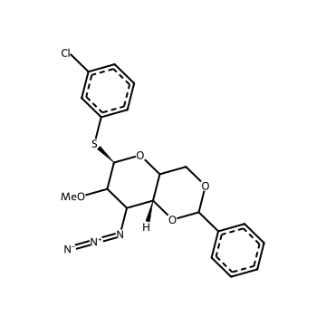 COC1C(N=[N+]=[N-])[C@H]2OC(c3ccccc3)OCC2O[C@@H]1Sc1cccc(Cl)c1